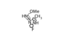 COCCC1CN(C2=Nc3ccc(F)cc3Nc3sc(C)cc32)CCN1